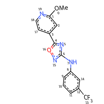 COc1cc(-c2nc(Nc3cccc(C(F)(F)F)c3)no2)ccn1